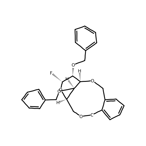 F[C@H]1O[C@@H]2COCc3ccccc3CO[C@H]([C@H]1OCc1ccccc1)[C@@H]2OCc1ccccc1